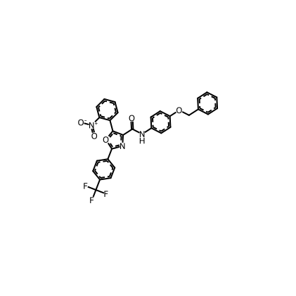 O=C(Nc1ccc(OCc2ccccc2)cc1)c1nc(-c2ccc(C(F)(F)F)cc2)oc1-c1ccccc1[N+](=O)[O-]